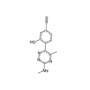 C#Cc1ccc(-c2nnc(NC)nc2C)c(O)c1